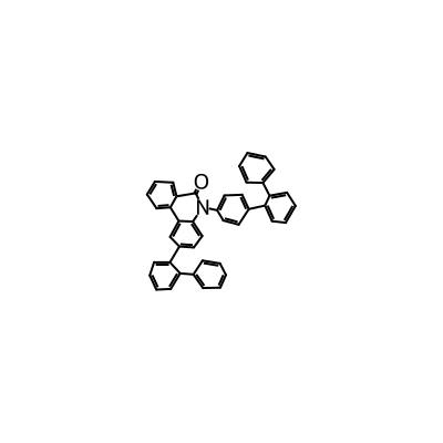 O=c1c2ccccc2c2cc(-c3ccccc3-c3ccccc3)ccc2n1-c1ccc(-c2ccccc2-c2ccccc2)cc1